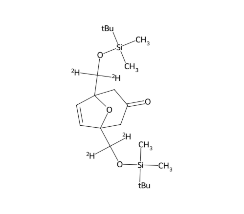 [2H]C([2H])(O[Si](C)(C)C(C)(C)C)C12C=CC(C([2H])([2H])O[Si](C)(C)C(C)(C)C)(CC(=O)C1)O2